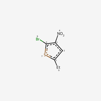 CCc1cc([N+](=O)[O-])c(Br)s1